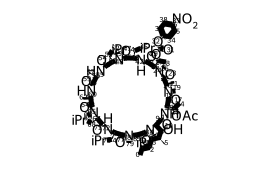 CC=CC[C@@H](C)[C@@H](O)[C@H]1C(=O)N[C@@H](C(C)OC(C)=O)C(=O)N(C)[C@H](C)C(=O)N(C)[C@@H](C(C)OC(=O)Oc2ccc([N+](=O)[O-])cc2)C(=O)N[C@@H](CC(C)C)C(=O)N(C)[C@@H](CC(C)C)C(=O)N[C@@H](C)C(=O)N[C@H](C)C(=O)N(C)[C@@H](CC(C)C)C(=O)N[C@@H](CC(C)C)C(=O)N(C)[C@@H](C(C)C)C(=O)N1C